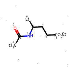 CCOC(=O)CCC(CC)NC(=O)C(Cl)(Cl)Cl